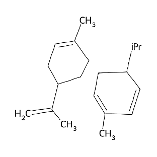 C=C(C)C1CC=C(C)CC1.CC1=CCC(C(C)C)C=C1